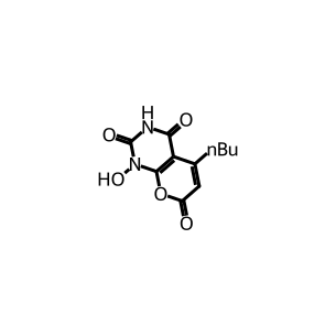 CCCCc1cc(=O)oc2c1c(=O)[nH]c(=O)n2O